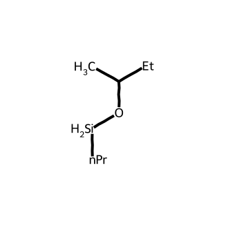 CCC[SiH2]OC(C)CC